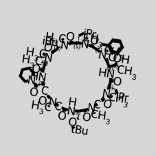 CC[C@H](C)[C@H]1C(=O)N(C)[C@@H](C)C(=O)N[C@H](C(=O)N2CCCCC2)CC(=O)N(C)CC(=O)N[C@@H](COC(C)(C)C)C(=O)N(C)CC(=O)N(C)[C@@H](CC(C)C)C(=O)N[C@@H]([C@@H](C)O)C(=O)N(C)[C@@H](Cc2ccccc2)C(=O)N(C)[C@@H](CC(C)C)C(=O)N1C